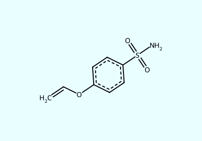 C=COc1ccc(S(N)(=O)=O)cc1